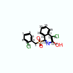 O=S(=O)(Cc1ccccc1Cl)c1nc(O)c(Cl)c2ccccc12